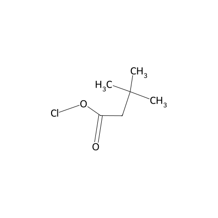 CC(C)(C)CC(=O)OCl